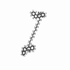 c1ccc2c(c1)ccc1c(CCCCCCCCCCCCCCCCc3c4ccccc4nc4c3ccc3ccccc34)c3ccccc3nc12